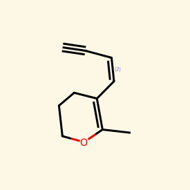 C#C/C=C\C1=C(C)OCCC1